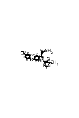 Cc1ncnc(NCC(c2ccc(Oc3ccc(Cl)cc3)cc2)C2C=C2N)c1Cl